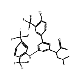 CC(=O)C(CC(C)C)c1cc(Nc2cc(C(F)(F)F)ccc2C(F)(F)F)cc(-c2ccc(Cl)c(C(F)(F)F)c2)c1